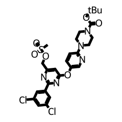 CC(C)(C)OC(=O)N1CCN(c2ccc(Oc3cc(COS(C)(=O)=O)nc(-c4cc(Cl)cc(Cl)c4)n3)cn2)CC1